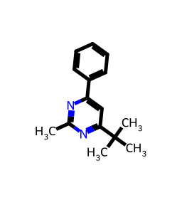 Cc1nc(-c2ccccc2)cc(C(C)(C)C)n1